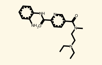 CCN(CC)CCN(C)C(=O)c1ccc(C(=O)Nc2ccccc2N)nc1